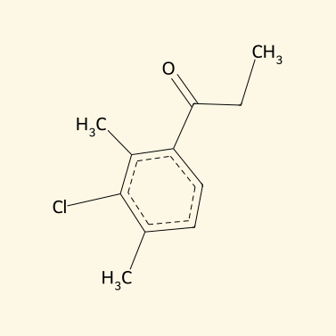 CCC(=O)c1ccc(C)c(Cl)c1C